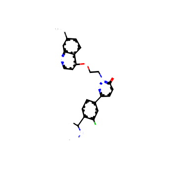 COc1ccc2c(OCCn3nc(-c4ccc(C(C)NC(=O)O)c(Cl)c4)ccc3=O)ccnc2c1